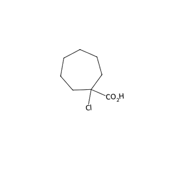 O=C(O)C1(Cl)CCCCCC1